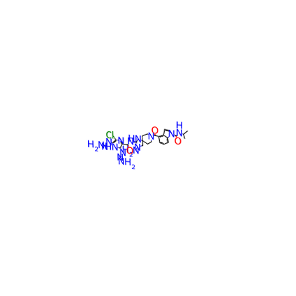 CC(C)NC(=O)n1ccc2c(C(=O)N3CCC4(CC3)CN(N)/C(=N\C(=O)C3=NC(Cl)=C(N=NN)NC3N=NN)N4)cccc21